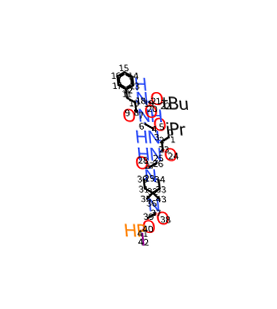 CC(C)CC(NC(=O)CNC(=O)C(Cc1ccccc1)NC(=O)OC(C)(C)C)C(=O)NCC(=O)N1CCC2(CC1)CN(C(=O)COPI)C2